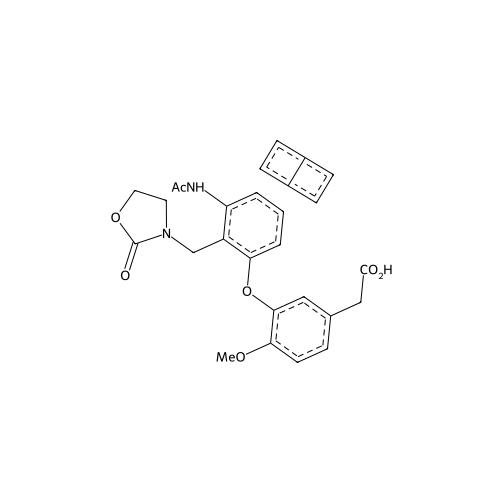 COc1ccc(CC(=O)O)cc1Oc1cccc(NC(C)=O)c1CN1CCOC1=O.c1cc2ccc1-2